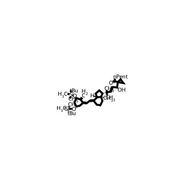 C=C1/C(=C\C=C2/CCC[C@]3(C)[C@@H](C(C)(C)/C=C/[C@@H](O)C4(C(=O)CCCCC)CC4)CC[C@@H]23)C[C@@H](O[Si](C)(C)C(C)(C)C)C[C@@H]1O[Si](C)(C)C(C)(C)C